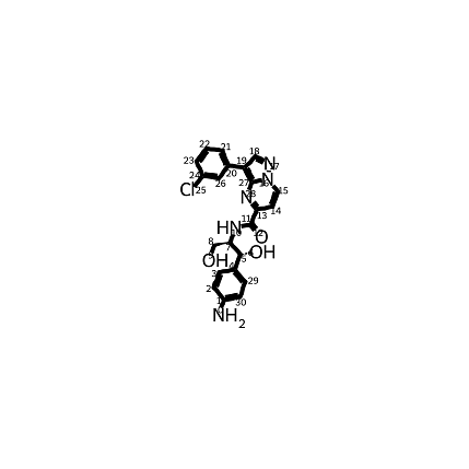 Nc1ccc([C@@H](O)[C@@H](CO)NC(=O)c2ccn3ncc(-c4cccc(Cl)c4)c3n2)cc1